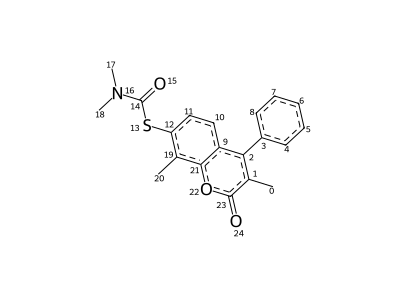 Cc1c(-c2ccccc2)c2ccc(SC(=O)N(C)C)c(C)c2oc1=O